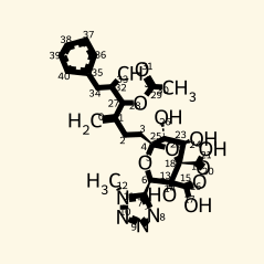 C=C(CC[C@]12O[C@H](c3nnnn3C)[C@@](O)(C(=O)O)[C@](C(=O)O)(O1)[C@H](O)[C@H]2O)C(OC(C)=O)C(C)Cc1ccccc1